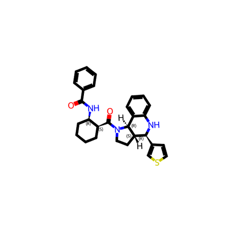 O=C(N[C@@H]1CCCC[C@@H]1C(=O)N1CC[C@H]2[C@H](c3ccsc3)Nc3ccccc3[C@@H]21)c1ccccc1